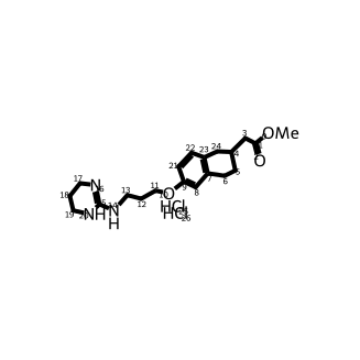 COC(=O)CC1CCc2cc(OCCCNC3=NCCCN3)ccc2C1.Cl.Cl